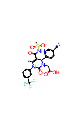 CC1=C(C(=O)NS(C)(=O)=O)C(c2ccc(C#N)cc2)N(CC(=O)O)C(=O)N1c1cccc(C(F)(F)F)c1